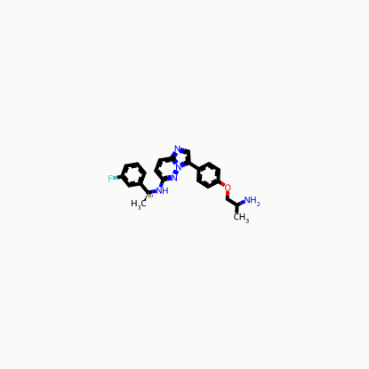 CC(N)COc1ccc(-c2cnc3ccc(N[C@H](C)c4cccc(F)c4)nn23)cc1